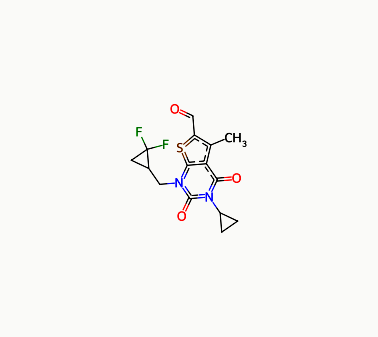 Cc1c(C=O)sc2c1c(=O)n(C1CC1)c(=O)n2CC1CC1(F)F